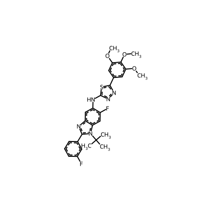 COc1cc(-c2nnc(Nc3cc4nc(-c5cccc(F)c5)n(C(C)(C)C)c4cc3F)s2)cc(OC)c1OC